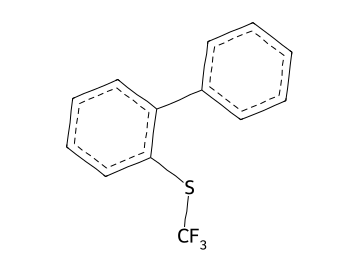 FC(F)(F)Sc1ccccc1-c1ccccc1